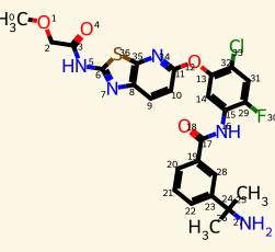 COCC(=O)Nc1nc2ccc(Oc3cc(NC(=O)c4cccc(C(C)(C)N)c4)c(F)cc3Cl)nc2s1